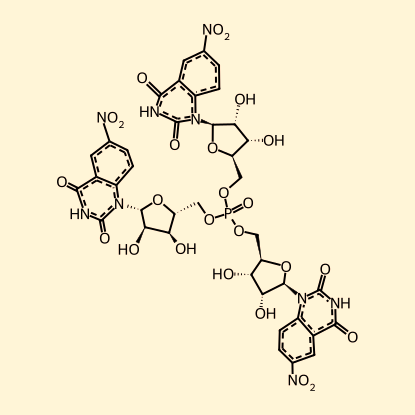 O=c1[nH]c(=O)n([C@@H]2O[C@H](COP(=O)(OC[C@H]3O[C@@H](n4c(=O)[nH]c(=O)c5cc([N+](=O)[O-])ccc54)[C@H](O)[C@@H]3O)OC[C@H]3O[C@@H](n4c(=O)[nH]c(=O)c5cc([N+](=O)[O-])ccc54)[C@H](O)[C@@H]3O)[C@@H](O)[C@H]2O)c2ccc([N+](=O)[O-])cc12